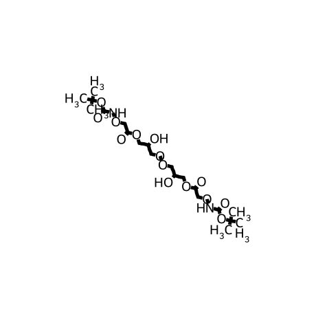 CC(C)(C)OC(=O)NOCC(=O)OCC(O)COOCC(O)COC(=O)CONC(=O)OC(C)(C)C